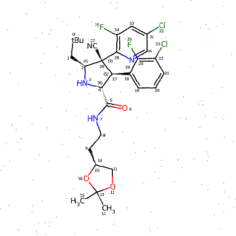 CC(C)(C)C[C@@H]1N[C@@H](C(=O)NCC[C@H]2COC(C)(C)O2)[C@H](c2cccc(Cl)c2F)[C@@]1(C#N)c1ncc(Cl)cc1F